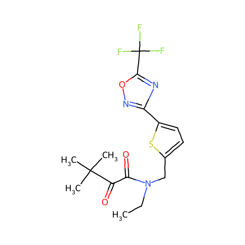 CCN(Cc1ccc(-c2noc(C(F)(F)F)n2)s1)C(=O)C(=O)C(C)(C)C